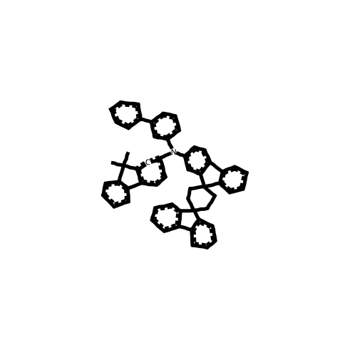 CC1(C)c2ccccc2-c2ccc(N(c3cccc(-c4ccccc4)c3)c3ccc4c(c3)C3(CCC5(CC3)c3ccccc3-c3ccccc35)c3ccccc3-4)cc21